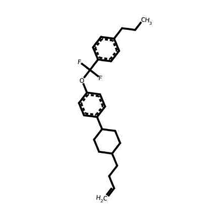 C=CCCC1CCC(c2ccc(OC(F)(F)c3ccc(CCC)cc3)cc2)CC1